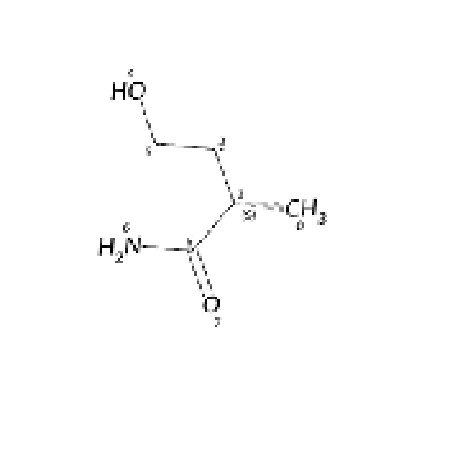 C[C@@H]([CH]CO)C(N)=O